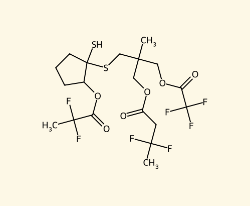 CC(F)(F)CC(=O)OCC(C)(COC(=O)C(F)(F)F)CSC1(S)CCCC1OC(=O)C(C)(F)F